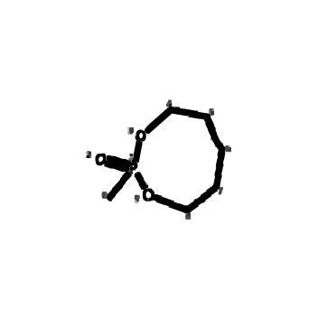 CP1(=O)OCCCCCO1